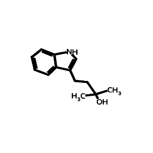 CC(C)(O)CCc1c[nH]c2ccccc12